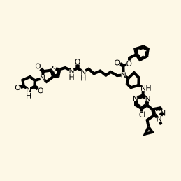 Cn1ncc(-c2nc(NC3CCC(N(CCCCCCNC(=O)NCc4cc5c(s4)C(=O)N(C4CCC(=O)NC4=O)C5)C(=O)OCc4ccccc4)CC3)ncc2Cl)c1CC1CC1